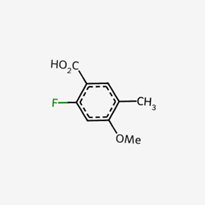 COc1cc(F)c(C(=O)O)cc1C